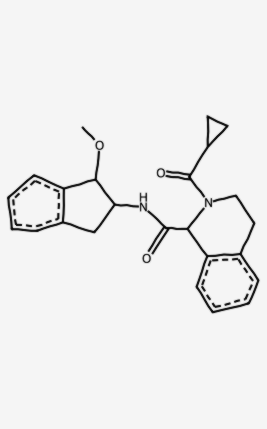 COC1c2ccccc2CC1NC(=O)C1c2ccccc2CCN1C(=O)C1CC1